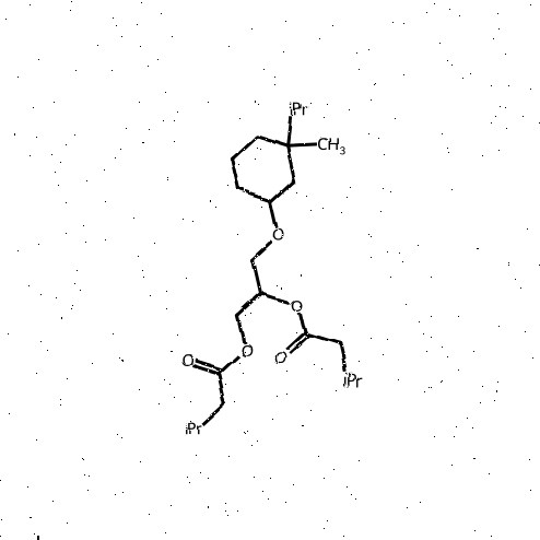 CC(C)CC(=O)OCC(COC1CCCC(C)(C(C)C)C1)OC(=O)CC(C)C